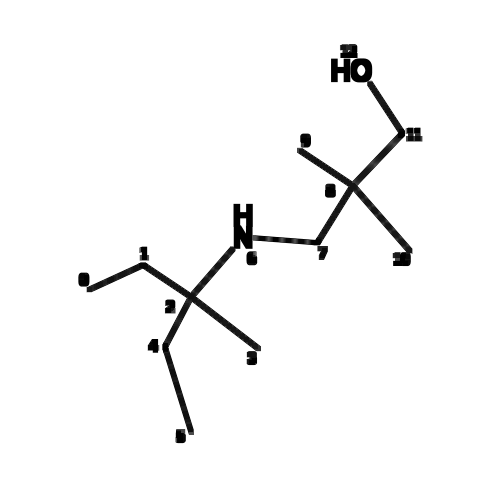 CCC(C)(CC)NCC(C)(C)CO